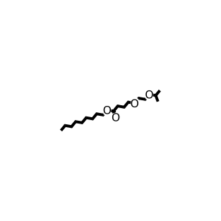 CCCCCCCCCOC(=O)CCCOCCOC(C)C